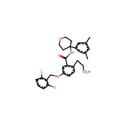 Cc1cc(C)cc(C2(NC(=O)c3cc(OCc4c(F)cccc4Cl)ccc3CCC(=O)O)CCOCC2)c1